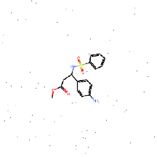 COC(=O)CC(NS(=O)(=O)c1ccccc1)c1ccc(N)cc1